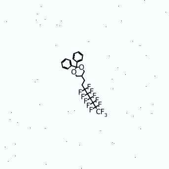 FC(F)(F)C(F)(F)C(F)(F)C(F)(F)C(F)(F)C(F)(F)CCC1COC(c2ccccc2)(c2ccccc2)OC1